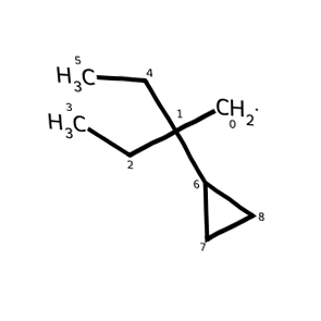 [CH2]C(CC)(CC)C1CC1